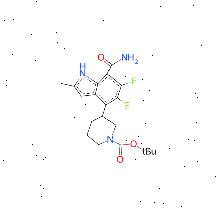 Cc1cc2c(C3CCCN(C(=O)OC(C)(C)C)C3)c(F)c(F)c(C(N)=O)c2[nH]1